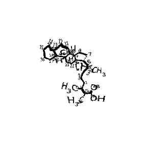 C/C(CC[C@@H](C)[C@H]1CC[C@H]2[C@@H]3C=CC4CC=CC[C@]4(C)[C@H]3CC[C@]12C)=C(\C)C(=O)O